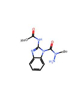 CCCCN(N)C(=O)n1c(NC(=O)OC)nc2ccccc21